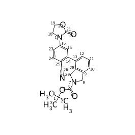 CC(C)(C)OC(=O)N1Cc2cccc(-c3cc(N4CCOC4=O)ccc3C#N)c2C1